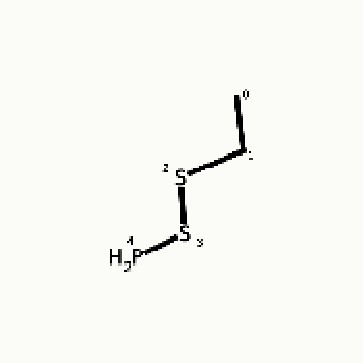 CCSSP